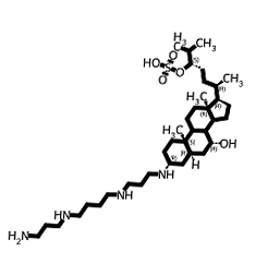 CC(C)[C@H](CC[C@@H](C)[C@H]1CCC2C3C(CC[C@@]21C)[C@@]1(C)CC[C@@H](NCCCNCCCCNCCCN)C[C@@H]1C[C@H]3O)OS(=O)(=O)O